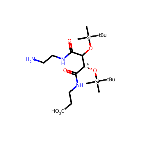 CC(C)(C)[Si](C)(C)OC(C(=O)NCCN)[C@H](O[Si](C)(C)C(C)(C)C)C(=O)NCCC(=O)O